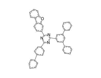 c1ccc(-c2ccc(-c3nc(-c4cc(-c5ccccc5)cc(-c5ccccc5)c4)nc(-c4ccc5c(c4)oc4ccccc45)n3)cc2)cc1